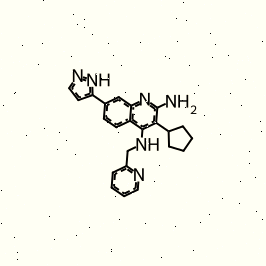 Nc1nc2cc(-c3ccn[nH]3)ccc2c(NCc2ccccn2)c1C1CCCC1